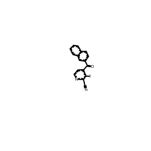 N#Cc1nccc(C(=O)c2ccc3ccccc3c2)c1F